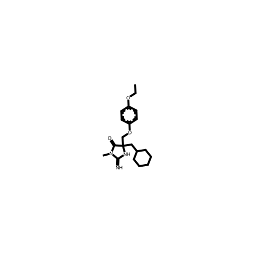 CCOc1ccc(OCC2(CC3CCCCC3)NC(=N)N(C)C2=O)cc1